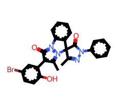 CC1=NN(c2ccccc2)C(=O)C12c1ccccc1-n1c(=O)c(-c3cc(Br)ccc3O)c(C)n12